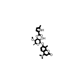 CO[C@@H]1[C@@H](OC(=O)c2ccc(C)[nH]2)[C@@H](O)[C@H](Oc2ccc3c(N(C)C)cc(=O)oc3c2C)O[C@H]1C